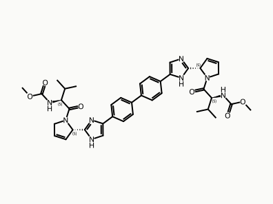 COC(=O)N[C@H](C(=O)N1CC=C[C@H]1c1nc(-c2ccc(-c3ccc(-c4cnc([C@@H]5C=CCN5C(=O)[C@@H](NC(=O)OC)C(C)C)[nH]4)cc3)cc2)c[nH]1)C(C)C